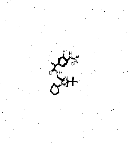 CC(C(=O)NCc1nc(C(C)(C)C)nn1C1CCCCC1)c1ccc(NS(C)(=O)=O)c(F)c1